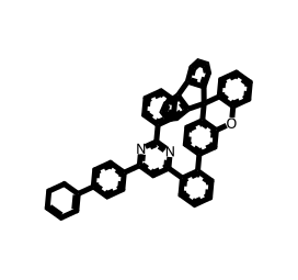 C1=CCCC(c2ccc(-c3cc(-c4ccccc4-c4ccc5c(c4)Oc4ccccc4C54c5ccccc5-c5ccccc54)nc(-c4ccccc4)n3)cc2)=C1